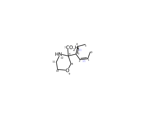 C/C=C\C(=C/C)C1(C(=O)O)COCCN1